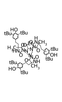 CCC(=O)C1N(N2C(=O)NC(C)(CCc3cc(C(C)(C)C)c(O)c(C(C)(C)C)c3)C2=O)CN(N2C(=O)NC(C)(CCc3cc(C(C)(C)C)c(O)c(C(C)(C)C)c3)C2=O)CN1N1C(=O)NC(C)(CCc2cc(C(C)(C)C)c(O)c(C(C)(C)C)c2)C1=O